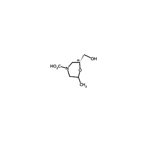 CC1CN(C(=O)O)C[C@H](CO)O1